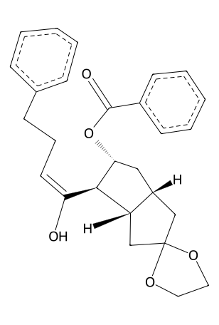 O=C(O[C@@H]1C[C@@H]2CC3(C[C@@H]2[C@H]1/C(O)=C\CCc1ccccc1)OCCO3)c1ccccc1